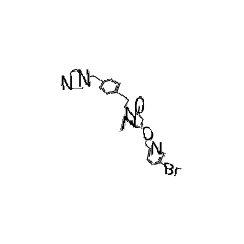 CN1CCN(Cc2ccc(CCn3ncc(OCc4ccc(Br)cn4)cc3=O)cc2)CC1